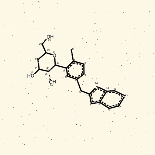 Cc1ccc(Cc2cc3ccccc3s2)cc1C1OC(CO)CC(O)[C@H]1O